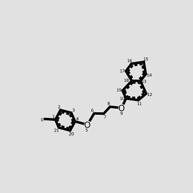 Cc1ccc(OCCCOc2ccc3ccccc3c2)cc1